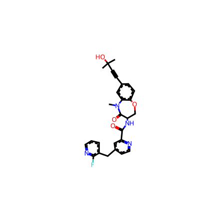 CN1C(=O)C(NC(=O)c2cc(Cc3cccnc3F)ccn2)COc2ccc(C#CC(C)(C)O)cc21